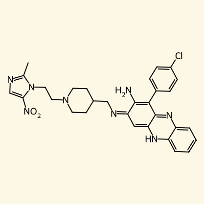 Cc1ncc([N+](=O)[O-])n1CCN1CCC(CN=c2cc3[nH]c4ccccc4nc-3c(-c3ccc(Cl)cc3)c2N)CC1